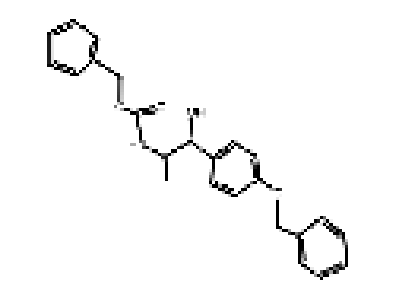 CC(NC(=O)OCc1ccccc1)[C@@H](O)c1ccc(OCc2ccccc2)cc1